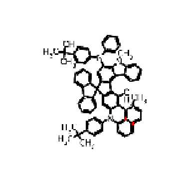 Cc1ccccc1-c1c(N(c2ccccc2)c2ccc(C(C)(C)C)cc2)cc2c(c1C)-c1c(cc(N(c3ccccc3)c3ccc(C(C)(C)C)cc3)c3c1c1ccccc1n3C)C21c2ccccc2-c2ccccc21